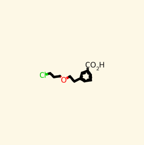 O=C(O)c1cccc(CCOCCCCl)c1